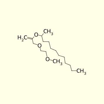 C=C(COCCOC)OC(C)CCCCCCCCCC